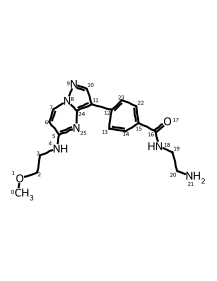 COCCNc1ccn2ncc(-c3ccc(C(=O)NCCN)cc3)c2n1